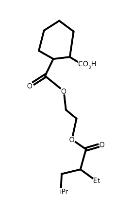 CCC(CC(C)C)C(=O)OCCOC(=O)C1CCCCC1C(=O)O